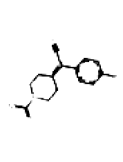 N#CC(=C1CCN(C(=O)O)CC1)c1ccc(F)cc1